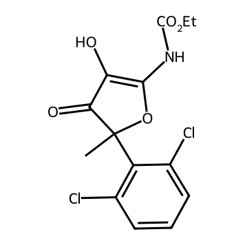 CCOC(=O)NC1=C(O)C(=O)C(C)(c2c(Cl)cccc2Cl)O1